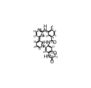 Cc1ccc(C(=O)Nc2ccc3c(c2)OCC(=O)N3)cc1Nc1nccc(-c2cccnc2)n1